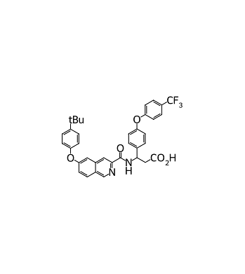 CC(C)(C)c1ccc(Oc2ccc3cnc(C(=O)NC(CC(=O)O)c4ccc(Oc5ccc(C(F)(F)F)cc5)cc4)cc3c2)cc1